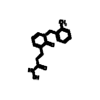 Cc1ccccc1Cn1cccc(CCC(=O)NO)c1=O